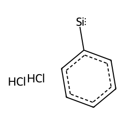 Cl.Cl.[Si]c1ccccc1